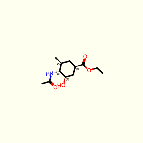 CCOC(=O)[C@H]1C[C@@H](O)[C@H](NC(C)=O)[C@@H](C)C1